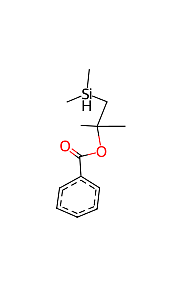 C[SiH](C)CC(C)(C)OC(=O)c1ccccc1